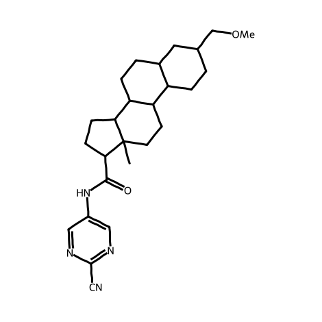 COCC1CCC2C(CCC3C2CCC2(C)C(C(=O)Nc4cnc(C#N)nc4)CCC32)C1